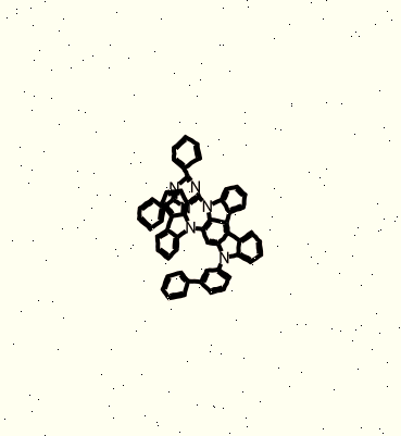 c1ccc(-c2cccc(-n3c4ccccc4c4c5c6ccccc6n(-c6nc(-c7ccccc7)nc(-c7ccccc7)n6)c5c(-n5c6ccccc6c6ccccc65)cc43)c2)cc1